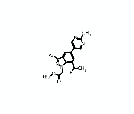 CC(=O)c1nn(CC(=O)OC(C)(C)C)c2c(C(C)F)cc(-c3cnc(C)nc3)cc12